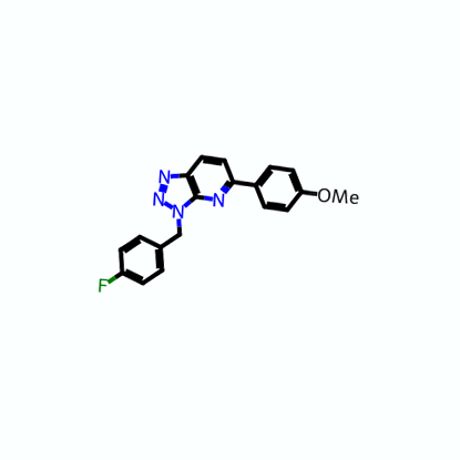 COc1ccc(-c2ccc3nnn(Cc4ccc(F)cc4)c3n2)cc1